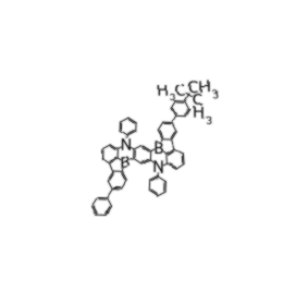 CC(C)(C)c1ccc(-c2ccc3c(c2)-c2cccc4c2B3c2cc3c(cc2N4c2ccccc2)B2c4ccc(-c5ccccc5)cc4-c4cccc(c42)N3c2ccccc2)cc1